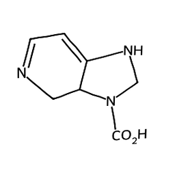 O=C(O)N1CNC2=CC=NCC21